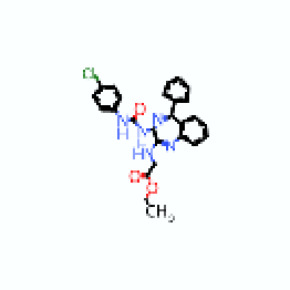 CCOC(=O)CNC1=Nc2ccccc2C(c2ccccc2)=NC1NC(=O)Nc1ccc(Cl)cc1